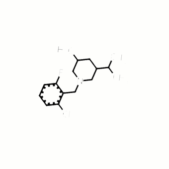 CC1CC(C(C)C)CN(Cc2c(F)cccc2Cl)C1